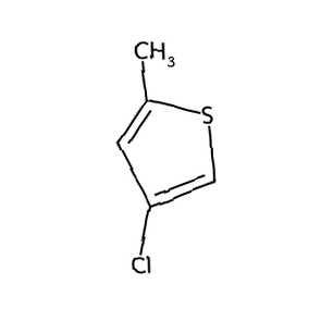 Cc1cc(Cl)cs1